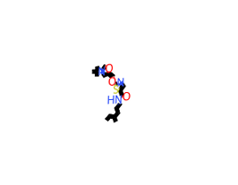 CCC(C)CCCNC(=O)c1cnc(OC=C2CN(C(C)(C)C)CO2)s1